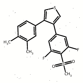 Cc1ccc(-c2cscc2-c2cc(F)c(S(C)(=O)=O)c(F)c2)cc1C